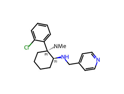 CN[C@@]1(c2ccccc2Cl)CCCC[C@@H]1NCc1ccncc1